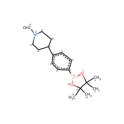 CC1(C)OB(c2ccc(C3CCN(C=O)CC3)cc2)OC1(C)C